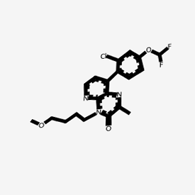 COCCCCn1c(=O)c(C)nc2c(-c3ccc(OC(F)F)cc3Cl)ccnc21